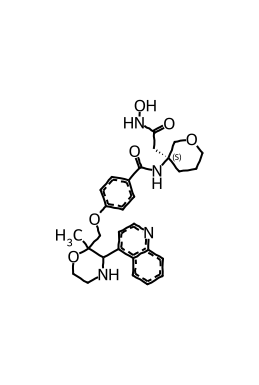 CC1(COc2ccc(C(=O)N[C@]3(CC(=O)NO)CCCOC3)cc2)OCCNC1c1ccnc2ccccc12